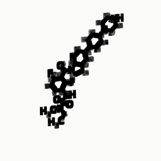 CCN(C)S(=O)(=O)Nc1ccc(F)c(C(=O)n2ccc3cc(-c4ccc(N5CCNCC5)cc4)cnc32)c1F